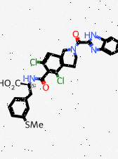 CSc1cccc(C[C@H](NC(=O)c2c(Cl)cc3c(c2Cl)CCN(C(=O)c2nc4ccccc4[nH]2)C3)C(=O)O)c1